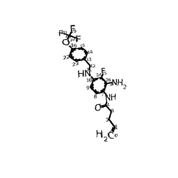 C=CCCC(=O)Nc1ccc(NCc2ccc(OC(F)(F)F)cc2)c(F)c1N